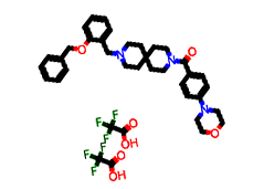 O=C(O)C(F)(F)F.O=C(O)C(F)(F)F.O=C(c1ccc(N2CCOCC2)cc1)N1CCC2(CCN(Cc3ccccc3OCc3ccccc3)CC2)CC1